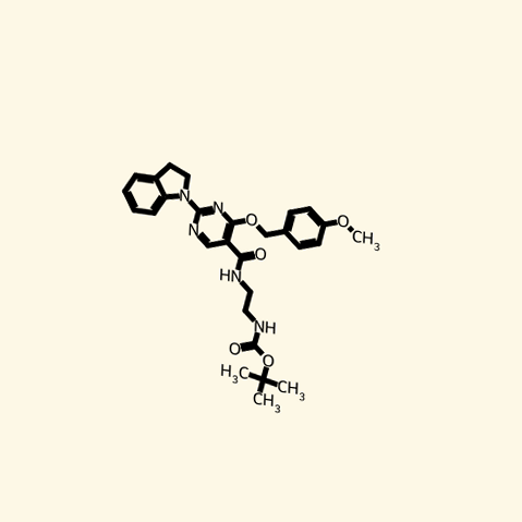 COc1ccc(COc2nc(N3CCc4ccccc43)ncc2C(=O)NCCNC(=O)OC(C)(C)C)cc1